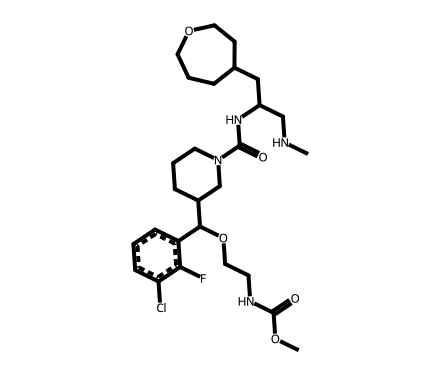 CNCC(CC1CCCOCC1)NC(=O)N1CCCC(C(OCCNC(=O)OC)c2cccc(Cl)c2F)C1